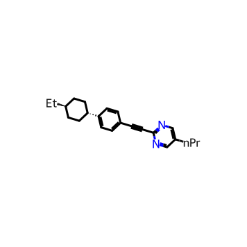 CCCc1cnc(C#Cc2ccc([C@H]3CC[C@H](CC)CC3)cc2)nc1